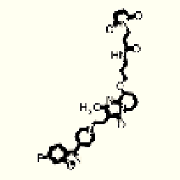 Cc1nc2n(c(=O)c1CCN1CCC(c3noc4cc(F)ccc34)CC1)CCCC2OCCCNC(=O)CCN1C(=O)C=CC1=O